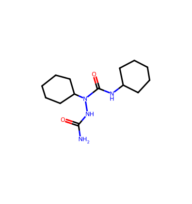 NC(=O)NN(C(=O)NC1CCCCC1)C1CCCCC1